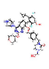 Cc1c(F)cc(O)c(F)c1-c1c(C2CC2)cc2c(N3CC4CC3CN4)nc(OC3CCOCC3)nc2c1OCc1ccc(CN2CCN(CO)CC2=O)cc1